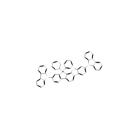 C1=CCC(C2(c3ccccc3)c3cc(-n4c5ccccc5c5ccccc54)ccc3-c3ccc4c(sc5cc(-n6c7ccccc7c7ccccc76)ccc54)c32)C=C1